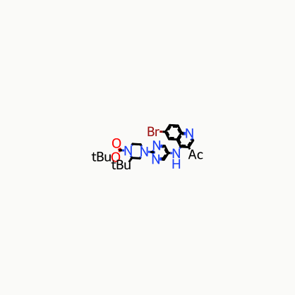 CC(=O)c1cnc2ccc(Br)cc2c1Nc1cnc(N2CCN(C(=O)OC(C)(C)C)C(C(C)(C)C)C2)nc1